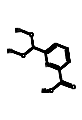 CCOC(OCC)c1cccc(C(=O)OC)n1